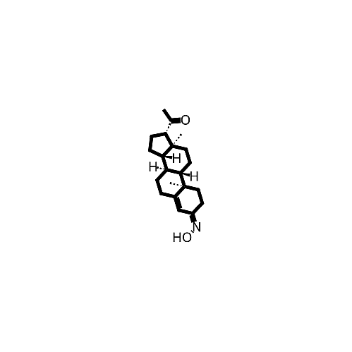 CC(=O)[C@H]1CC[C@H]2[C@@H]3CCC4=C/C(=N\O)CC[C@]4(C)[C@H]3CC[C@]12C